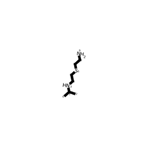 CC(C)NCCSCCN